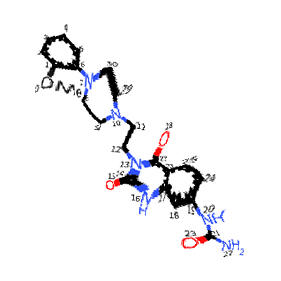 COc1ccccc1N1CCN(CCn2c(=O)[nH]c3cc(NC(N)=O)ccc3c2=O)CC1